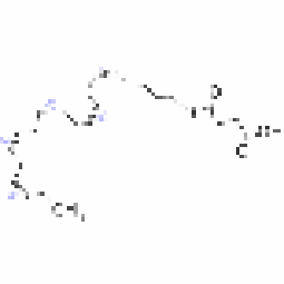 CC/C=C\C/C=C\C/C=C\C/C=C\C/C=C\CCCCOC(=O)CCC(=O)O